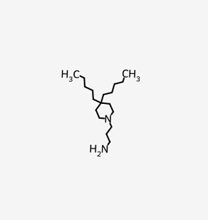 CCCCCC1(CCCCC)CCN(CCCN)CC1